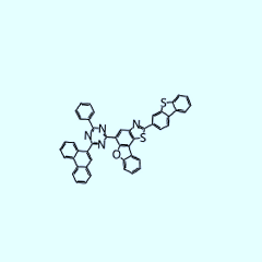 c1ccc(-c2nc(-c3cc4ccccc4c4ccccc34)nc(-c3cc4nc(-c5ccc6c(c5)sc5ccccc56)sc4c4c3oc3ccccc34)n2)cc1